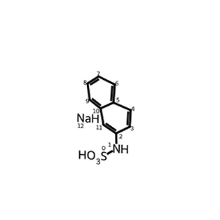 O=S(=O)(O)Nc1ccc2ccccc2c1.[NaH]